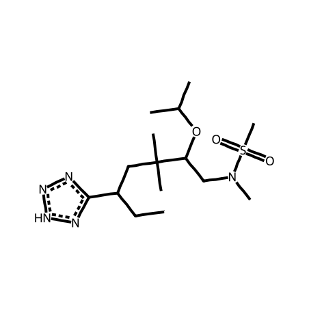 CCC(CC(C)(C)C(CN(C)S(C)(=O)=O)OC(C)C)c1nn[nH]n1